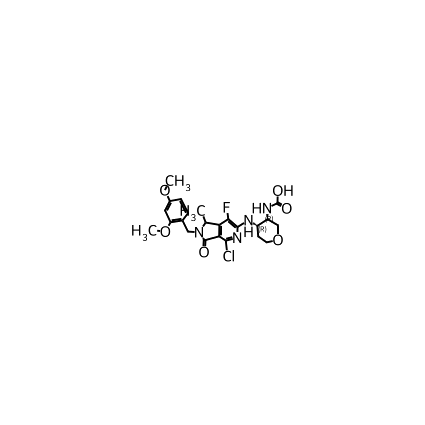 COc1ccc(CN2C(=O)c3c(Cl)nc(N[C@@H]4CCOC[C@@H]4NC(=O)O)c(F)c3C2C)c(OC)c1